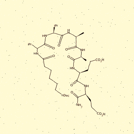 CCCCCCCCCCCCCCCC(=O)NC(C(=O)N[C@H](C(=O)N[C@@H](C)C(=O)N[C@@H](C)C(=O)N[C@@H](CCC(=O)O)C(=O)N[C@@H](CCC(=O)O)C(N)=O)C(C)C)C(C)C